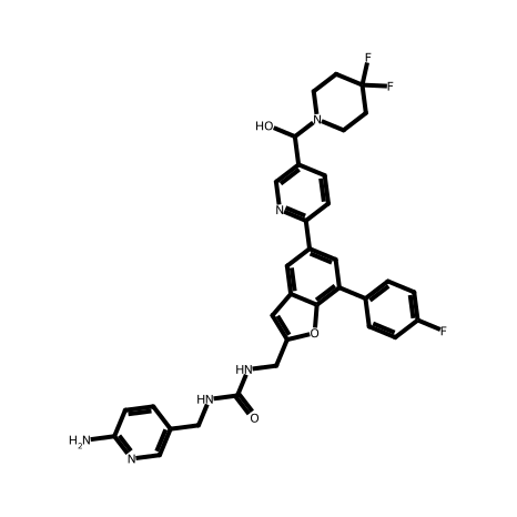 Nc1ccc(CNC(=O)NCc2cc3cc(-c4ccc(C(O)N5CCC(F)(F)CC5)cn4)cc(-c4ccc(F)cc4)c3o2)cn1